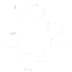 CCC(=O)Nc1cncc(-c2ccc3[nH]nc(-c4nc5c(-c6ccccn6)nccc5[nH]4)c3c2F)c1